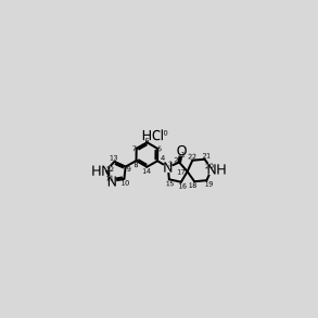 Cl.O=C1N(c2cccc(-c3cn[nH]c3)c2)CCC12CCNCC2